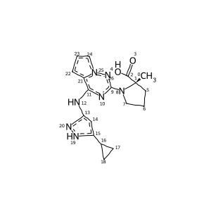 C[C@@]1(C(=O)O)CCCN1c1nc(Nc2cc(C3CC3)[nH]n2)c2cccn2n1